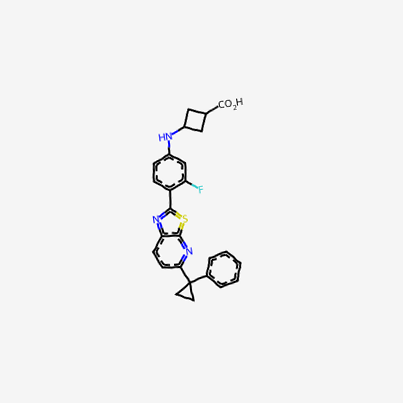 O=C(O)C1CC(Nc2ccc(-c3nc4ccc(C5(c6ccccc6)CC5)nc4s3)c(F)c2)C1